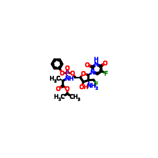 CC(C)OC(=O)[C@H](C)N[P@@](=O)(OC[C@H]1O[C@@H](n2cc(F)c(=O)[nH]c2=O)[C@@](N)(CF)C1O)Oc1ccccc1